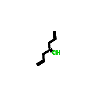 C=C[CH2][Al][CH2]C=C.Cl